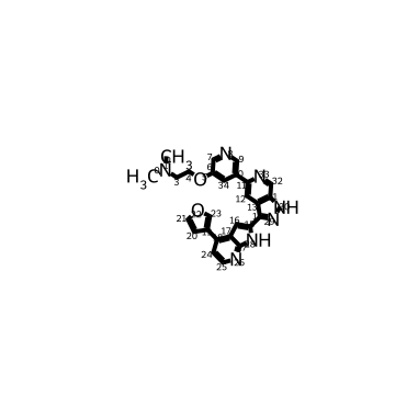 CN(C)CCOc1cncc(-c2cc3c(-c4cc5c(-c6ccoc6)ccnc5[nH]4)n[nH]c3cn2)c1